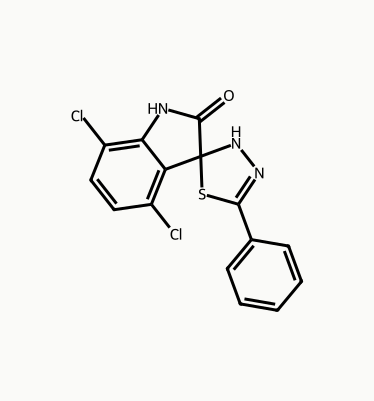 O=C1Nc2c(Cl)ccc(Cl)c2C12NN=C(c1ccccc1)S2